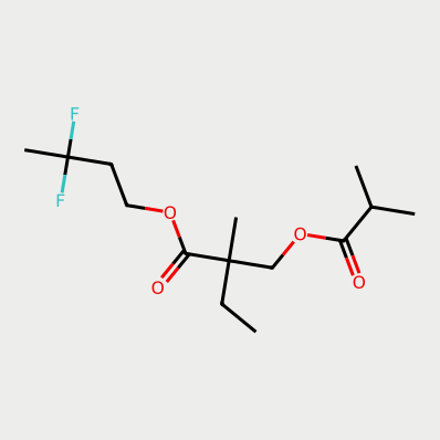 CCC(C)(COC(=O)C(C)C)C(=O)OCCC(C)(F)F